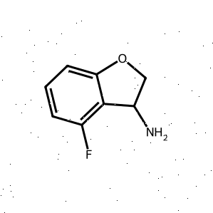 NC1COc2cccc(F)c21